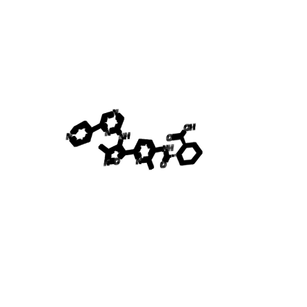 Cc1nc(-c2onc(C)c2Nc2cncc(-c3ccncc3)n2)ccc1NC(=O)[C@H]1CCCC[C@@H]1C(=O)O